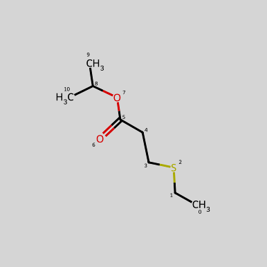 CCSCCC(=O)OC(C)C